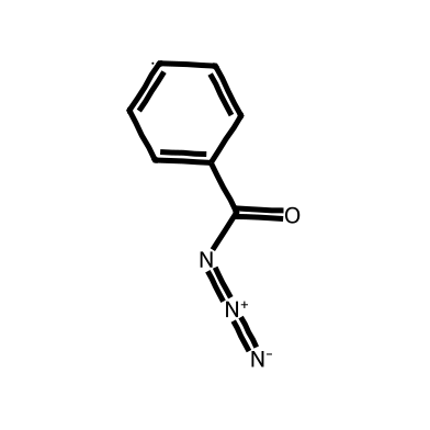 [N-]=[N+]=NC(=O)c1cc[c]cc1